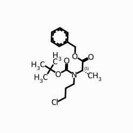 C[C@@H](C(=O)OCc1ccccc1)N(CCCCl)C(=O)OC(C)(C)C